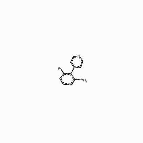 Nc1cccc(Br)c1-c1ccccc1